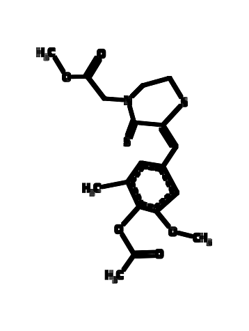 COC(=O)CN1CCSC(=Cc2cc(C)c(OC(C)=O)c(OC)c2)C1=S